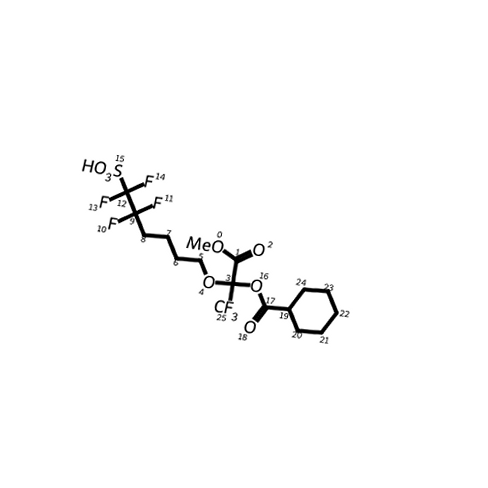 COC(=O)C(OCCCCC(F)(F)C(F)(F)S(=O)(=O)O)(OC(=O)C1CCCCC1)C(F)(F)F